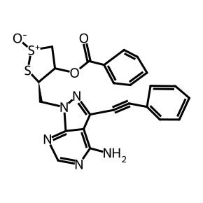 Nc1ncnc2c1c(C#Cc1ccccc1)nn2C[C@H]1S[S+]([O-])CC1OC(=O)c1ccccc1